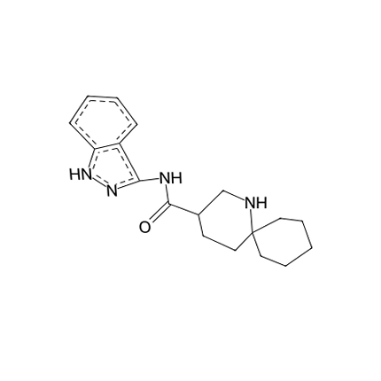 O=C(Nc1n[nH]c2ccccc12)C1CCC2(CCCCC2)NC1